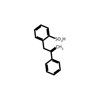 C=C(Cc1ccccc1S(=O)(=O)O)c1ccccc1